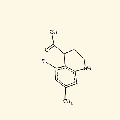 Cc1cc(F)c2c(c1)NCCC2C(=O)O